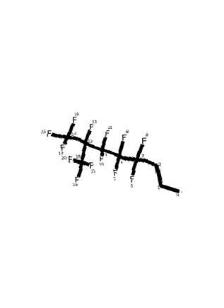 [CH2]CCC(F)(F)C(F)(F)C(F)(F)C(F)(C(F)(F)F)C(F)(F)F